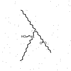 CCCCCCCCCCCCN(CCCCCC(=O)OCCCCC)CC[As](CCO)CCCCCCCCCCCC